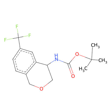 CC(C)(C)OC(=O)NC1COCc2ccc(C(F)(F)F)cc21